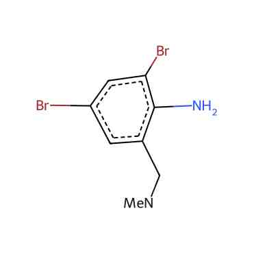 CNCc1cc(Br)cc(Br)c1N